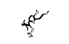 CO/C=C/c1nc(C(O[SiH](C)C)C(C)(C)C)ccc1OC